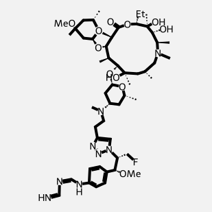 CC[C@H]1OC(=O)[C@H](C)[C@@H](O[C@H]2C[C@@](C)(OC)C[C@H](C)O2)[C@H](C)[C@@H](O[C@H]2C[C@@H](N(C)CCc3cn([C@H](CF)[C@H](OC)c4ccc(N/C=N\C=N)cc4)nn3)C[C@@H](C)O2)[C@](C)(O)C[C@@H](C)CN(C)[C@H](C)[C@@H](O)[C@]1(C)O